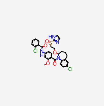 COc1cc(NC(=O)c2ccccc2Cl)ccc1C(=O)N1c2ccc(Cl)cc2CCCC1OCC[S+]([O-])c1ncc[nH]1